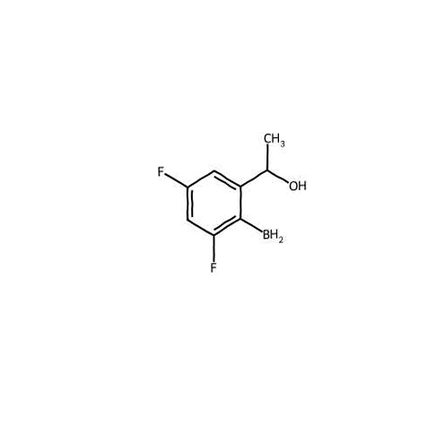 Bc1c(F)cc(F)cc1C(C)O